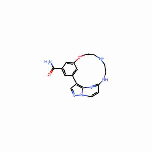 NC(=O)c1cc2cc(c1)-c1cnn3ccc(nc13)NCCNCCO2